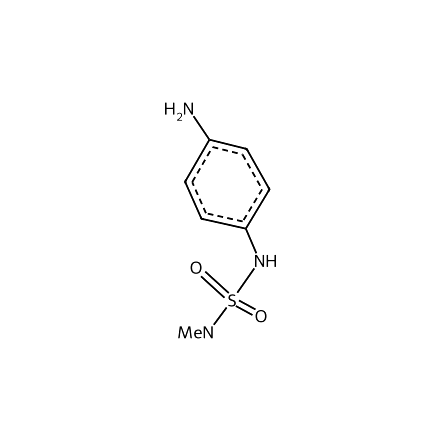 CNS(=O)(=O)Nc1ccc(N)cc1